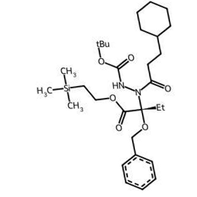 CC[C@@](OCc1ccccc1)(C(=O)OCC[Si](C)(C)C)N(NC(=O)OC(C)(C)C)C(=O)CCC1CCCCC1